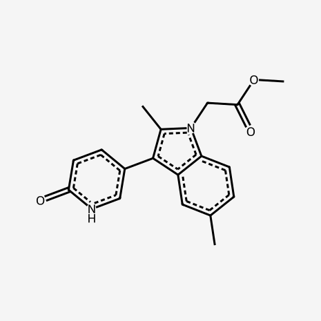 COC(=O)Cn1c(C)c(-c2ccc(=O)[nH]c2)c2cc(C)ccc21